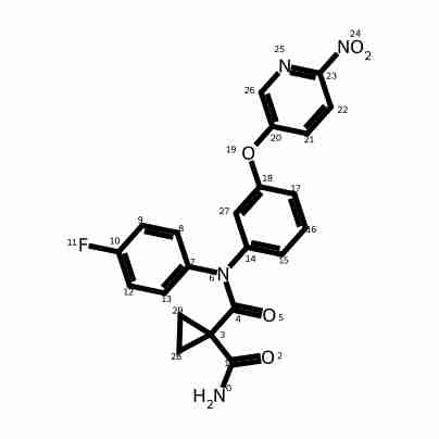 NC(=O)C1(C(=O)N(c2ccc(F)cc2)c2cccc(Oc3ccc([N+](=O)[O-])nc3)c2)CC1